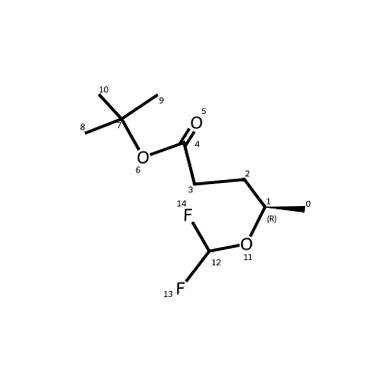 C[C@H](CCC(=O)OC(C)(C)C)OC(F)F